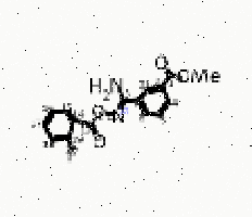 COC(=O)c1cccc(/C(N)=N/OC(=O)c2ccccc2F)c1